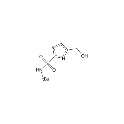 CC(C)(C)NS(=O)(=O)c1nc(CO)cs1